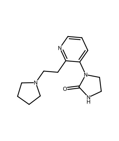 O=C1NCCN1c1cccnc1CCN1CCCC1